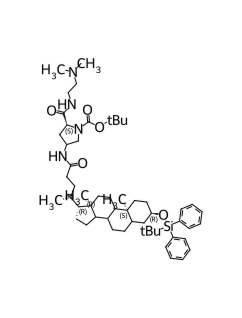 C[C@H](CCC(=O)NC1C[C@@H](C(=O)NCCN(C)C)N(C(=O)OC(C)(C)C)C1)[C@H]1CCC2C3CCC4C[C@H](O[Si](c5ccccc5)(c5ccccc5)C(C)(C)C)CC[C@]4(C)C3CC[C@@]21C